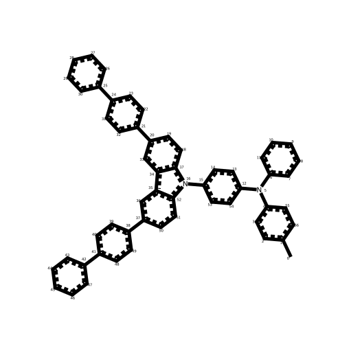 Cc1ccc(N(c2ccccc2)c2ccc(-n3c4ccc(-c5ccc(-c6ccccc6)cc5)cc4c4cc(-c5ccc(-c6ccccc6)cc5)ccc43)cc2)cc1